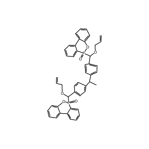 C=CCOC(c1ccc(C(C)c2ccc(C(OCC=C)P3(=O)Oc4ccccc4-c4ccccc43)cc2)cc1)P1(=O)Oc2ccccc2-c2ccccc21